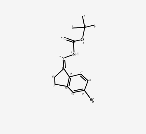 CC(C)(C)OC(=O)N/N=C1/CCc2cc(Br)ccc21